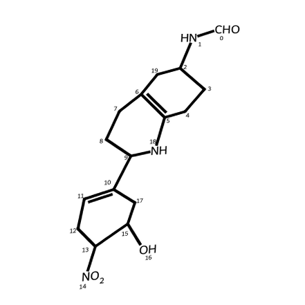 O=CNC1CCC2=C(CCC(C3=CCC([N+](=O)[O-])C(O)C3)N2)C1